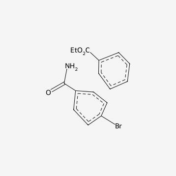 CCOC(=O)c1ccccc1.NC(=O)c1ccc(Br)cc1